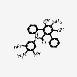 CCCc1cc(NC(=O)c2c(-c3ccccc3)c(CCC)c(N)c(CCC)c2-c2ccccc2)cc(CCC)c1N